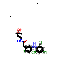 CC(C)(O)CCNC(=O)Cc1cc(Nc2c(Cl)cc(Cl)cc2Cl)ccc1F